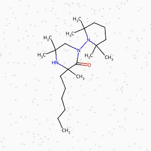 CCCCCCC1(C)NC(C)(C)CN(N2C(C)(C)CCCC2(C)C)C1=O